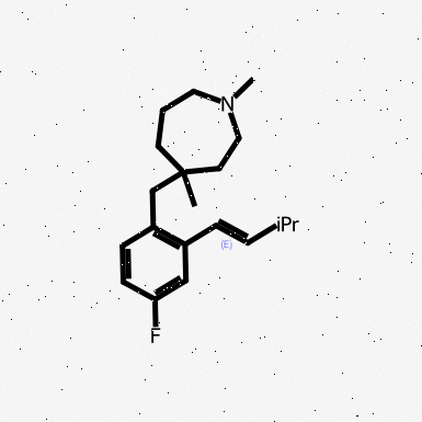 CC(C)/C=C/c1cc(F)ccc1CC1(C)CCCN(C)CC1